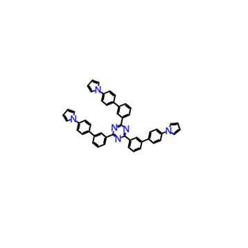 c1cc(-c2ccc(-n3cccc3)cc2)cc(-c2nc(-c3cccc(-c4ccc(-n5cccc5)cc4)c3)nc(-c3cccc(-c4ccc(-n5cccc5)cc4)c3)n2)c1